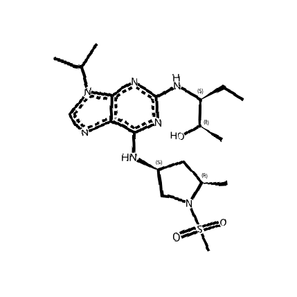 CC[C@H](Nc1nc(N[C@H]2C[C@@H](C)N(S(C)(=O)=O)C2)c2ncn(C(C)C)c2n1)[C@@H](C)O